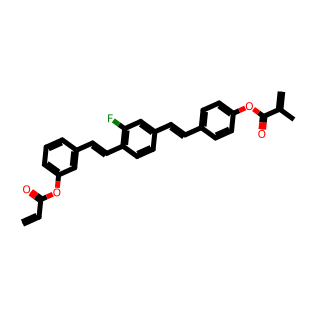 C=CC(=O)Oc1cccc(/C=C/c2ccc(/C=C/c3ccc(OC(=O)C(=C)C)cc3)cc2F)c1